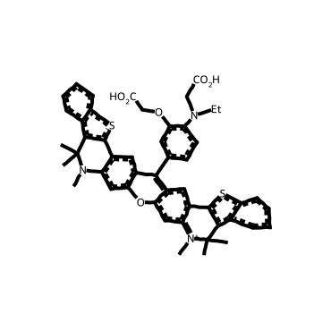 CCN(CC(=O)O)c1ccc(C2=c3cc4c(cc3Oc3cc5c(cc32)-c2sc3ccccc3c2C(C)(C)N5C)=[N+](C)C(C)(C)c2c-4sc3ccccc23)cc1OCC(=O)O